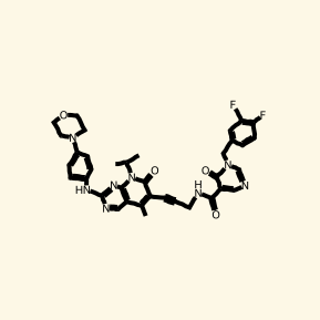 Cc1c(C#CCNC(=O)c2cncn(Cc3ccc(F)c(F)c3)c2=O)c(=O)n(C(C)C)c2nc(Nc3ccc(N4CCOCC4)cc3)ncc12